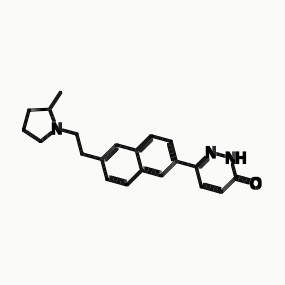 CC1CCCN1CCc1ccc2cc(-c3ccc(=O)[nH]n3)ccc2c1